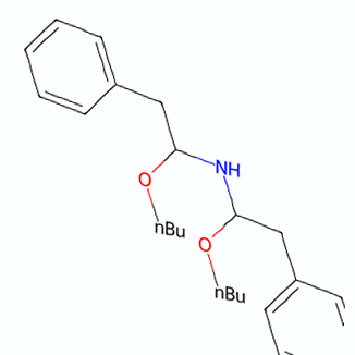 CCCCOC(Cc1ccccc1)NC(Cc1ccccc1)OCCCC